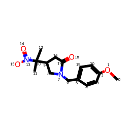 COc1ccc(CN2CC(C(C)(C)[N+](=O)[O-])CC2=O)cc1